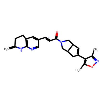 C=C1CCc2cc(/C=C/C(=O)N3CC4C=C(c5c(C)noc5C)CC4C3)cnc2N1